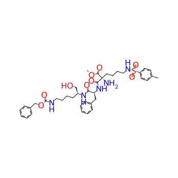 COC(=O)[C@@](N)(CCCCNS(=O)(=O)c1ccc(C)cc1)C(=O)N[C@@H](Cc1ccccc1)C(=O)N[C@H](CO)CCCCNC(=O)OCc1ccccc1